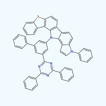 c1ccc(-c2cc(-c3nc(-c4ccccc4)nc(-c4ccccc4)n3)cc(-n3c4c(ccc5c4ccn5-c4ccccc4)c4ccc5sc6ccccc6c5c43)c2)cc1